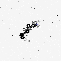 Cc1ccc2cccc(OCc3c(Cl)ccc(S(=O)(=O)N4CCCC4C(=O)N4CCN(/C(=N\C(C)C)NC(C)C)CC4)c3Cl)c2n1